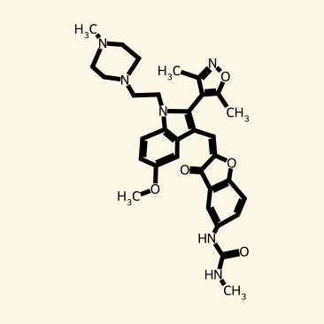 CNC(=O)Nc1ccc2c(c1)C(=O)C(=Cc1c(-c3c(C)noc3C)n(CCN3CCN(C)CC3)c3ccc(OC)cc13)O2